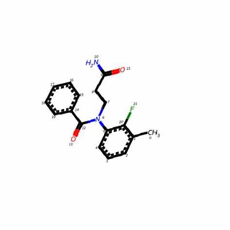 Cc1cccc(N(CCC(N)=O)C(=O)c2ccccc2)c1F